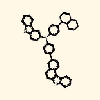 C1=CC2=C(C=CCC2c2ccc(N(c3ccc(-c4ccc5c(ccc6oc7ccccc7c65)c4)cc3)c3ccc4sc5ccccc5c4c3)cc2)CC1